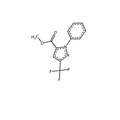 COC(=O)c1cc(C(F)(F)F)nn1-c1ccccc1